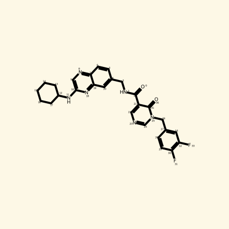 O=C(NCc1ccc2ncc(NC3CCCCC3)nc2c1)c1cncn(Cc2ccc(F)c(F)c2)c1=O